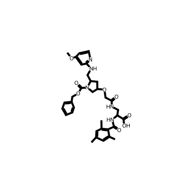 COc1ccnc(NCC2CC(OCC(=O)NCC(NC(=O)c3c(C)cc(C)cc3C)C(=O)O)CN2C(=O)OCc2ccccc2)c1